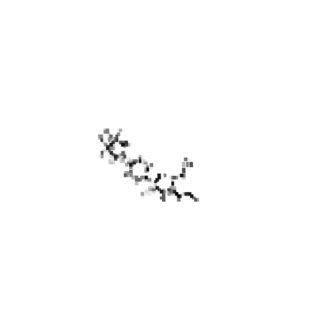 CCC[C@H](CCO)NS(=O)(=O)c1ccc(B2OC(C)(C)C(C)(C)O2)cc1